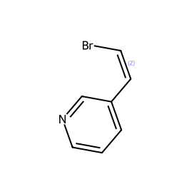 Br/C=C\c1cccnc1